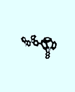 c1ccc(-c2ccccc2-n2c3ccc(-c4ccc5c(c4)c4ccccc4n5-c4ccc5sc6ccccc6c5c4)cc3c3cc4ccccc4cc32)cc1